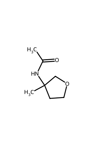 CC(=O)NC1(C)CCOC1